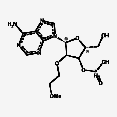 COCCOC1C(O[PH](=O)O)[C@@H](CO)O[C@H]1n1cnc2c(N)ncnc21